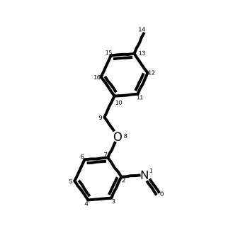 C=Nc1ccccc1OCc1ccc(C)cc1